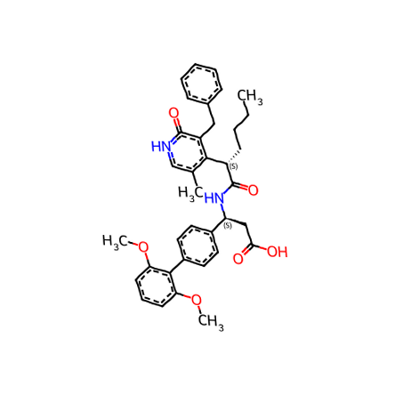 CCCC[C@H](C(=O)N[C@@H](CC(=O)O)c1ccc(-c2c(OC)cccc2OC)cc1)c1c(C)c[nH]c(=O)c1Cc1ccccc1